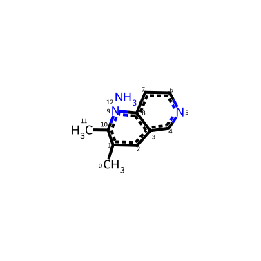 Cc1cc2cnccc2nc1C.N